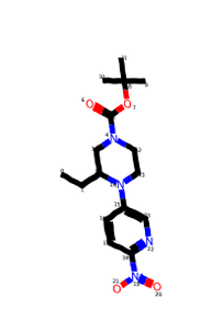 CCC1CN(C(=O)OC(C)(C)C)CCN1c1ccc([N+](=O)[O-])nc1